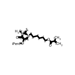 C=C(C)C(=O)OCCCCCCn1cc(OC(C)CCC)c(=O)n(C)c1=S